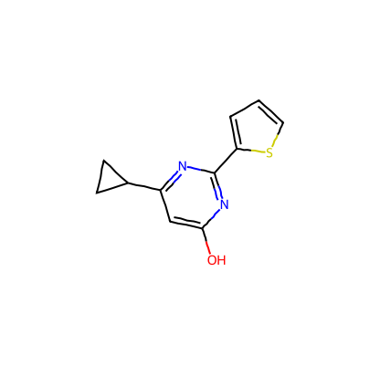 Oc1cc(C2CC2)nc(-c2cccs2)n1